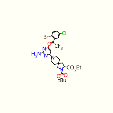 CCOC(=O)C1CC2(CCN(c3cc(O[C@H](c4cc(Cl)ccc4Br)C(F)(F)F)nc(N)n3)CC2)CN1C(=O)OC(C)(C)C